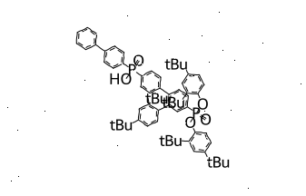 CC(C)(C)c1ccc(OP(=O)(Oc2ccc(C(C)(C)C)cc2C(C)(C)C)c2ccc(-c3ccc(P(=O)(O)c4ccc(-c5ccccc5)cc4)cc3)c(-c3ccc(C(C)(C)C)cc3C(C)(C)C)c2)c(C(C)(C)C)c1